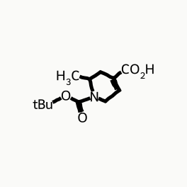 CC1CC(C(=O)O)=CCN1C(=O)OC(C)(C)C